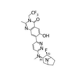 Cc1nc2cc(-c3ccc(N(C)[C@@H]4CC5CCC([C@@H]4F)N5C)nn3)c(O)cc2c(=O)n1CC(F)(F)F